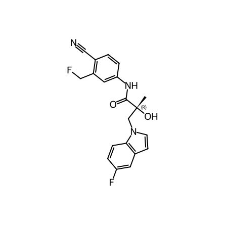 C[C@@](O)(Cn1ccc2cc(F)ccc21)C(=O)Nc1ccc(C#N)c(CF)c1